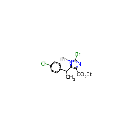 CCOC(=O)c1nc(Br)n(C(C)C)c1C(C)c1ccc(Cl)cc1